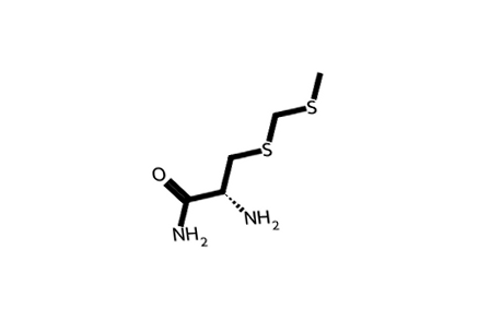 CSCSC[C@H](N)C(N)=O